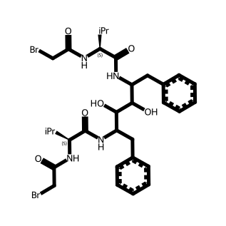 CC(C)[C@H](NC(=O)CBr)C(=O)NC(Cc1ccccc1)C(O)C(O)C(Cc1ccccc1)NC(=O)[C@@H](NC(=O)CBr)C(C)C